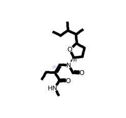 CC/C(=C/N(C=O)[C@H]1CCC(C(C)C(C)CC)O1)C(=O)NC